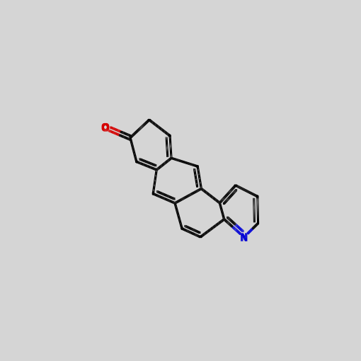 O=C1C=c2cc3ccc4ncccc4c3cc2=CC1